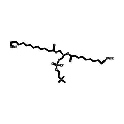 CCCCC/C=C\CCCCCCCC(=O)O[C@H](COC(=O)CCCCCCCCC/C=C\CCCCCCCC)COP(=O)([O-])OCC[N+](C)(C)C